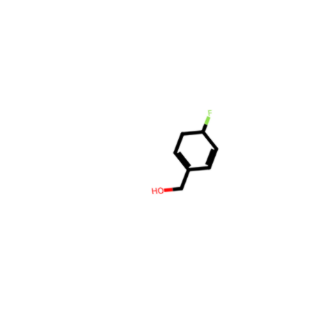 OCC1=CCC(F)C=C1